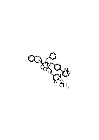 COc1ncc(/C=C/C(=O)N(Cc2ccc(-c3cccnn3)cc2)[C@@H](Cc2ccccc2)C(=O)N2CCc3ccccc3C2)cn1